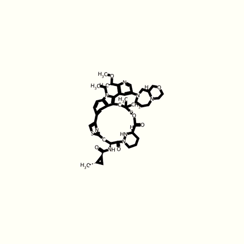 CCn1c(-c2cc(N3CCCN4CCOC[C@@H]4C3)cnc2[C@H](C)OC)c2c3cc(ccc31)-c1csc(n1)C[C@H](NC(=O)[C@H]1C[C@@H]1C)C(=O)N1CCC[C@H](N1)C(=O)OCC(C)(C)C2